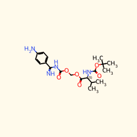 CC(C)[C@H](NC(=O)OC(C)(C)C)C(=O)OCOC(=O)NC(=N)c1ccc(N)cc1